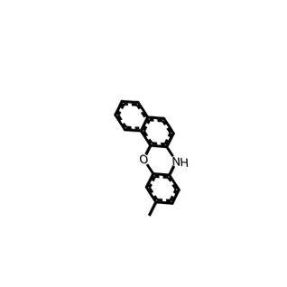 Cc1ccc2c(c1)Oc1c(ccc3ccccc13)N2